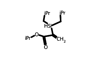 C=C(C(=O)OC(C)C)[SiH](CC(C)C)CC(C)C